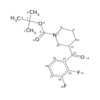 CC(C)(C)OC(=O)N1CCCC(C(=O)c2cccc(F)c2F)C1